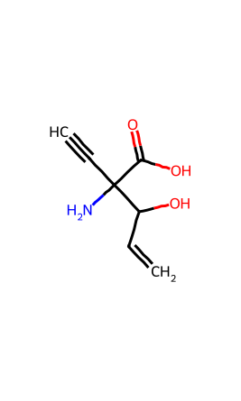 C#CC(N)(C(=O)O)C(O)C=C